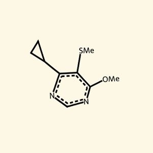 COc1ncnc(C2CC2)c1SC